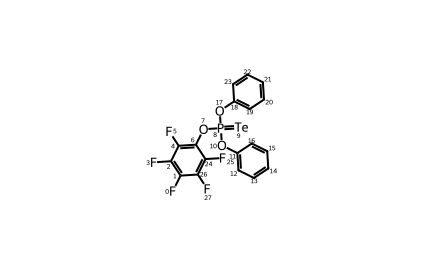 Fc1c(F)c(F)c(OP(=[Te])(Oc2ccccc2)Oc2ccccc2)c(F)c1F